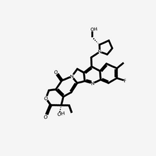 CC[C@@]1(O)C(=O)OCc2c1cc1n(c2=O)Cc2c-1nc1cc(F)c(C)cc1c2CN1CCC[C@H]1CO